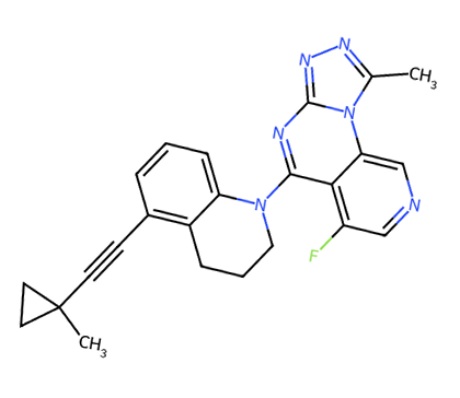 Cc1nnc2nc(N3CCCc4c(C#CC5(C)CC5)cccc43)c3c(F)cncc3n12